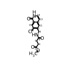 COC(=O)CCC(=O)NCc1cc2cc[nH]c(=O)c2cc1Cl